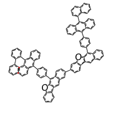 c1ccc(-c2ccccc2-c2c3ccccc3c(-c3ccc(-c4c5ccc(-c6ccc7c(c6)oc6c(-c8ccc(-c9c%10ccccc%10c(-c%10cccc%11ccccc%10%11)c%10ccccc9%10)cc8)c8ccccc8cc67)cc5cc5c4oc4ccccc45)cc3)c3ccccc23)cc1